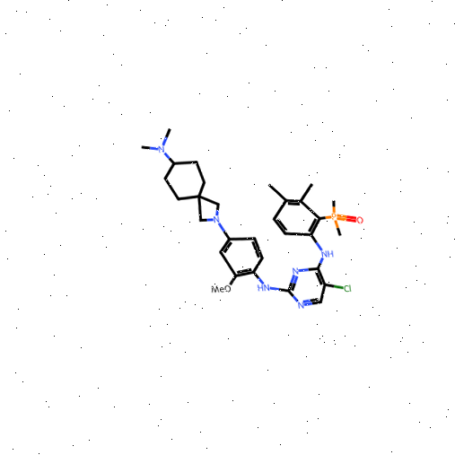 COc1cc(N2CC3(CCC(N(C)C)CC3)C2)ccc1Nc1ncc(Cl)c(Nc2ccc(C)c(C)c2P(C)(C)=O)n1